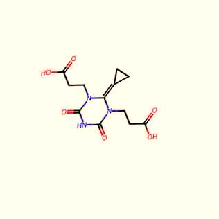 O=C(O)CCN1C(=O)NC(=O)N(CCC(=O)O)C1=C1CC1